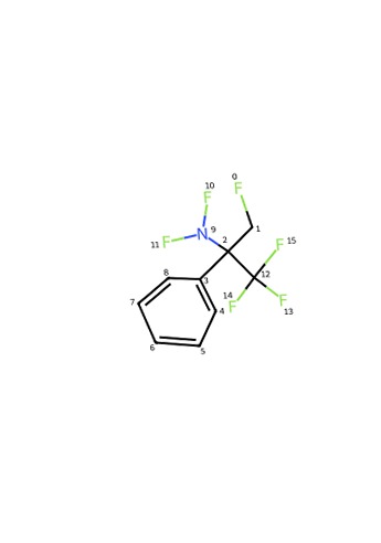 FCC(c1ccccc1)(N(F)F)C(F)(F)F